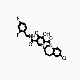 O=C(NCc1ccc(F)cc1F)c1cn2c(c(O)c1=O)C(=O)N1CC2CCc2cc(Cl)ccc21